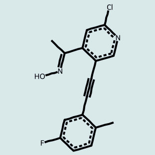 CC(=NO)c1cc(Cl)ncc1C#Cc1cc(F)ccc1C